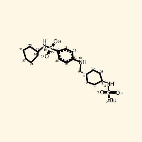 CC(C)(C)S(=O)(=O)N[C@H]1CC[C@H](CNc2ccc(S(=O)(=O)NC3CCCCC3)cc2)CC1